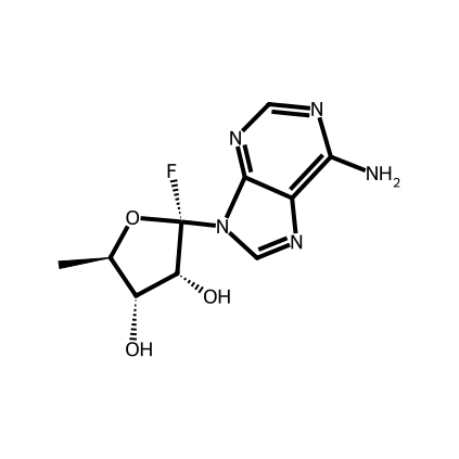 C[C@H]1O[C@@](F)(n2cnc3c(N)ncnc32)[C@H](O)[C@@H]1O